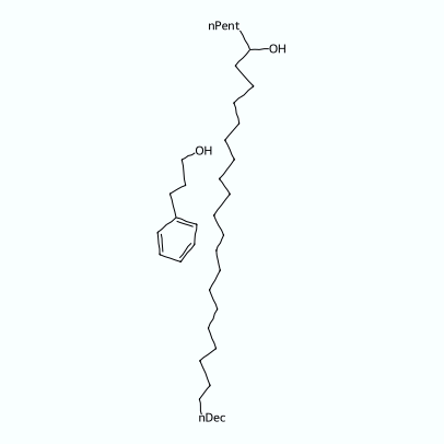 CCCCCCCCCCCCCCCCCCCCCCCCCCCCCC(O)CCCCC.OCCCc1ccccc1